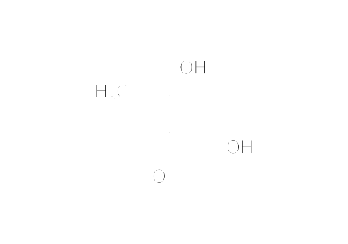 C=C(O)C(=O)O